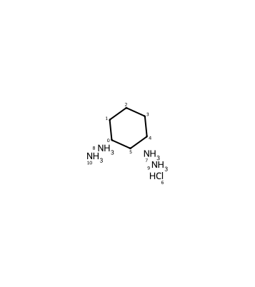 C1CCCCC1.Cl.N.N.N.N